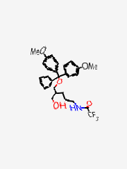 COc1ccc(C(OCC(CO)CCCNC(=O)C(F)(F)F)(c2ccccc2)c2ccc(OC)cc2)cc1